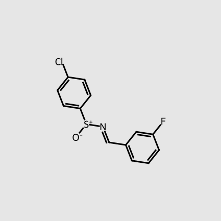 [O-][S+](/N=C/c1cccc(F)c1)c1ccc(Cl)cc1